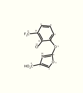 O=C(O)c1coc(Oc2cccc(C(F)(F)F)c2Cl)n1